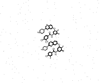 O=C(Nc1cc(F)c(F)c(Oc2ccc3ncc(N4CCNCC4)nc3c2)c1)c1ccc(Cl)c(C(F)(F)F)c1.O=C(Nc1cc(F)c(F)c(Oc2ccc3ncc(N4CCNCC4)nc3c2)c1)c1ccc(Cl)c(F)c1